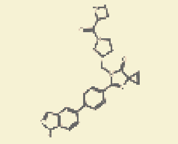 O=C(C1CCO1)N1CC[C@@H](CN2C(=O)C3(CC3)N=C2C2=CCC(c3ccc4[nH]ncc4c3)C=C2)C1